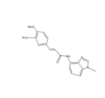 COc1ccc(C=CC(=O)Nc2cccc3c2ncn3C)cc1OC(C)=O